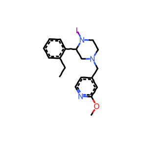 CCc1ccccc1C1CN(Cc2ccnc(OC)c2)CCN1I